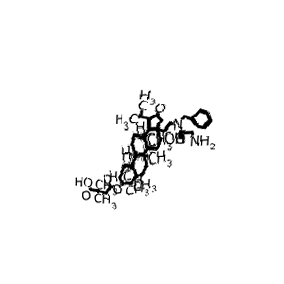 CC(C)C1=C2[C@H]3CC[C@@H]4[C@@]5(C)CC[C@H](OC(=O)CC(C)(C)C(=O)O)C(C)(C)[C@@H]5CC[C@@]4(C)[C@]3(C)CCC2(C(O)CN(Cc2ccccc2)C(=O)CN)CC1=O